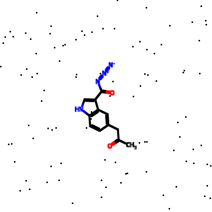 CC(=O)Cc1ccc2[nH]cc(C(=O)N=[N+]=[N-])c2c1